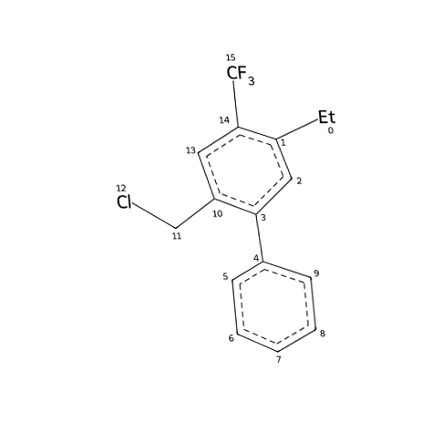 CCc1cc(-c2ccccc2)c(CCl)cc1C(F)(F)F